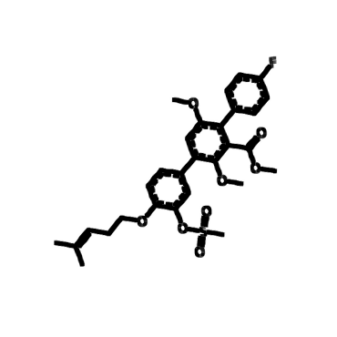 COC(=O)c1c(OC)c(-c2ccc(OCCC=C(C)C)c(OS(C)(=O)=O)c2)cc(OC)c1-c1ccc(F)cc1